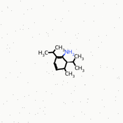 CC(C)C1=C(N)[C@@H](C(C)C)C(C)C=C1